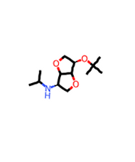 CC(C)N[C@@H]1COC2C1OC[C@H]2OC(C)(C)C